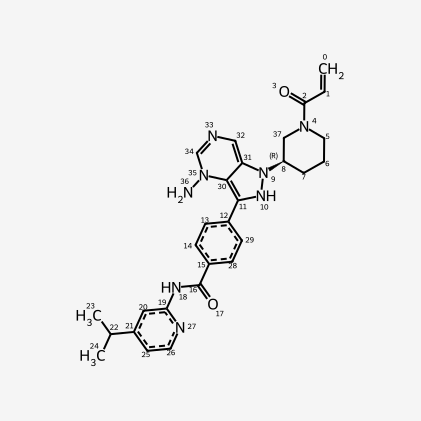 C=CC(=O)N1CCC[C@@H](N2NC(c3ccc(C(=O)Nc4cc(C(C)C)ccn4)cc3)=C3C2=CN=CN3N)C1